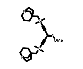 CON=C(C#C[Si](C)(C)CC12CCCN(CC1)C2)C#C[Si](C)(C)CC12CCCN(CC1)C2